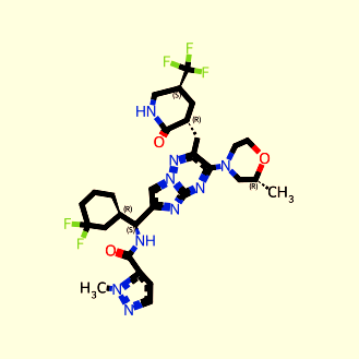 C[C@@H]1CN(c2nc3nc([C@@H](NC(=O)c4ccnn4C)[C@@H]4CCCC(F)(F)C4)cn3nc2C[C@H]2C[C@H](C(F)(F)F)CNC2=O)CCO1